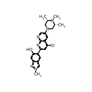 C[C@@H]1CN(c2cnc3nc(-c4cc5cn(C)nc5cc4O)cc(Cl)c3c2)C[C@H](C)N1C